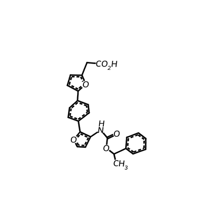 CC(OC(=O)Nc1ccoc1-c1ccc(-c2ccc(CC(=O)O)o2)cc1)c1ccccc1